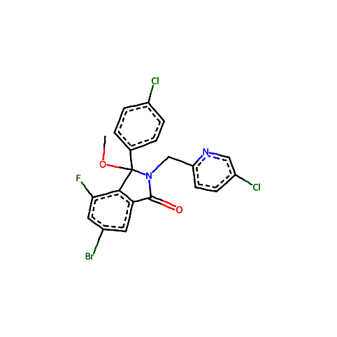 COC1(c2ccc(Cl)cc2)c2c(F)cc(Br)cc2C(=O)N1Cc1ccc(Cl)cn1